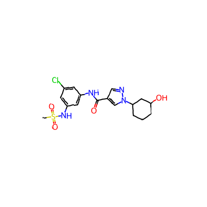 CS(=O)(=O)Nc1cc(Cl)cc(NC(=O)c2cnn(C3CCCC(O)C3)c2)c1